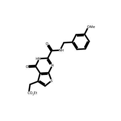 CCOC(=O)Cc1csc2nc(C(=O)NCc3cccc(OC)c3)[nH]c(=O)c12